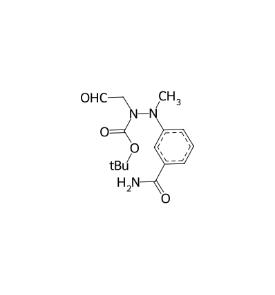 CN(c1cccc(C(N)=O)c1)N(CC=O)C(=O)OC(C)(C)C